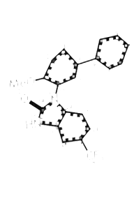 COc1ccc(-c2ccccc2)cc1-n1c(=O)[nH]c2cc(C(F)(F)F)ccc21